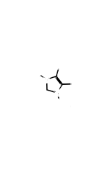 CCC1=C(CC)N(CC)CN1C